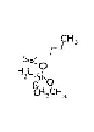 CCCCCP(C)(=S)O[Si](OC)OC